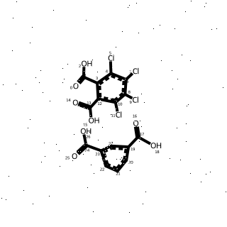 O=C(O)c1c(Cl)c(Cl)c(Cl)c(Cl)c1C(=O)O.O=C(O)c1cccc(C(=O)O)c1